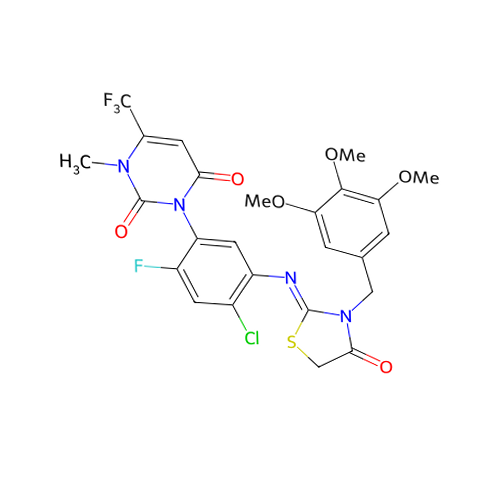 COc1cc(CN2C(=O)CSC2=Nc2cc(-n3c(=O)cc(C(F)(F)F)n(C)c3=O)c(F)cc2Cl)cc(OC)c1OC